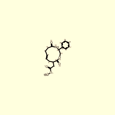 CC(C)(C)OC(=O)CC1C/C=C/CCC(=O)NC(c2ccccc2)COC1=O